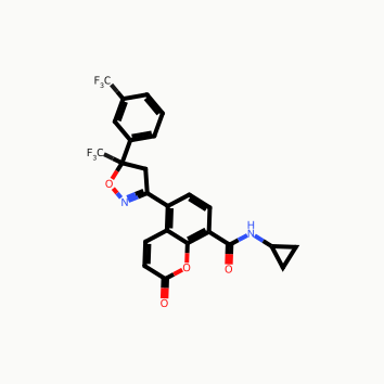 O=C(NC1CC1)c1ccc(C2=NOC(c3cccc(C(F)(F)F)c3)(C(F)(F)F)C2)c2ccc(=O)oc12